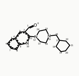 O=Cc1cc2ccccc2nc1N1CCN(CC2CCCCC2)CC1